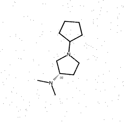 CN(C)[C@H]1CCN(C2CCCC2)C1